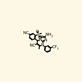 CC1=C(C#N)C(c2ccc(C#N)cc2S(C)(=O)=O)n2nc(N)nc2N1c1cccc(C(F)(F)F)c1